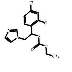 CCOC(=O)SC(Cn1ccnc1)c1ccc(Cl)cc1Cl